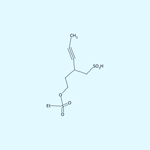 CC#CC(CCOS(=O)(=O)CC)CS(=O)(=O)O